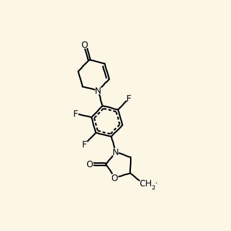 [CH2]C1CN(c2cc(F)c(N3C=CC(=O)CC3)c(F)c2F)C(=O)O1